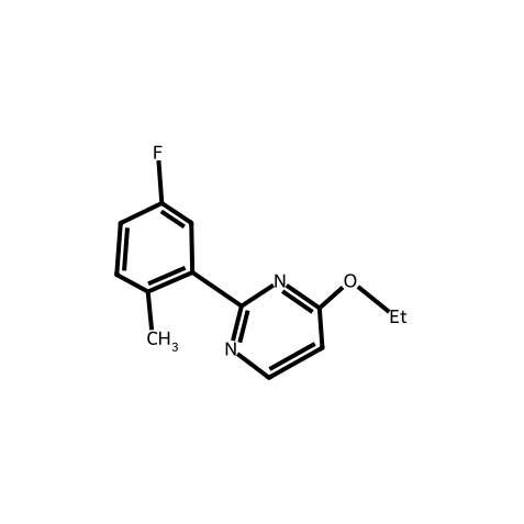 CCOc1ccnc(-c2cc(F)ccc2C)n1